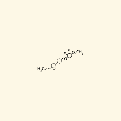 CCCCC1CCC(C2CCC(COc3ccc(OCC)c(F)c3F)CC2)CO1